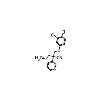 C=CCC(C#N)(COc1ccc(Cl)c(Cl)c1)c1cccnc1